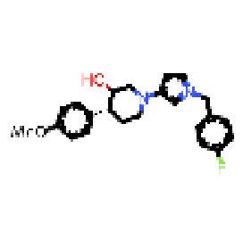 COc1ccc([C@H]2CCN(c3ccn(Cc4ccc(F)cc4)c3)C[C@@H]2O)cc1